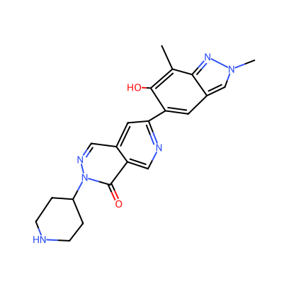 Cc1c(O)c(-c2cc3cnn(C4CCNCC4)c(=O)c3cn2)cc2cn(C)nc12